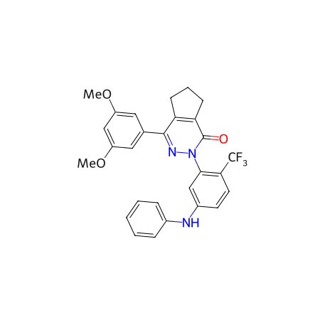 COc1cc(OC)cc(-c2nn(-c3cc(Nc4ccccc4)ccc3C(F)(F)F)c(=O)c3c2CCC3)c1